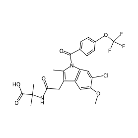 COc1cc2c(CC(=O)NC(C)(C)C(=O)O)c(C)n(C(=O)c3ccc(OC(F)(F)F)cc3)c2cc1Cl